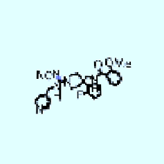 COc1ccccc1C(=O)NCC1(c2ccccc2F)CCN(/C(=N/C#N)NCc2ccncc2)CC1